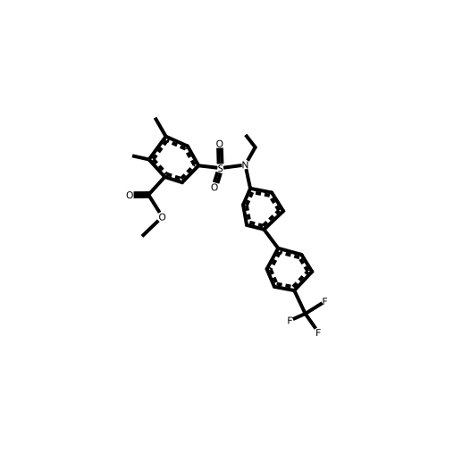 CCN(c1ccc(-c2ccc(C(F)(F)F)cc2)cc1)S(=O)(=O)c1cc(C)c(C)c(C(=O)OC)c1